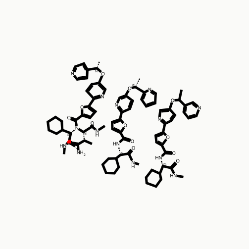 CNC(=O)[C@@H](NC(=O)c1ccc(-c2ccc(OC(C)c3cccnc3)cn2)o1)C1CCCCC1.CNC(=O)[C@@H](NC(=O)c1ccc(-c2ccc(O[C@H](C)c3ccccn3)cn2)o1)C1CCCCC1.CNC(=O)[C@H](C1CCCCC1)N(C(=O)c1ccc(-c2ccc(O[C@@H](C)c3ccncc3)cn2)o1)[C@H](C(=O)NC)C(C)C(N)=O